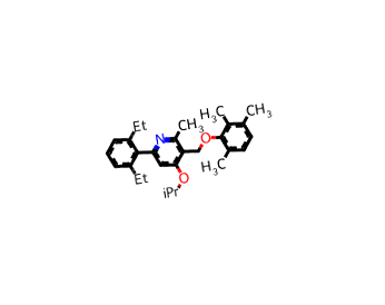 CCc1cccc(CC)c1-c1cc(OC(C)C)c(COc2c(C)ccc(C)c2C)c(C)n1